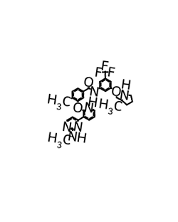 CNc1nccc(-c2cccnc2Oc2cc(C(=O)Nc3cc(OC[C@@]4(C)CCCN4)cc(C(F)(F)F)c3)ccc2C)n1